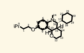 CC(C)CCOc1ccc2c(c1)[C@H]1OCCC[C@H]1[C@@H](C1CCCCC1)N2C